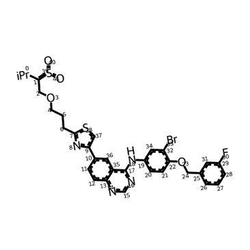 CC(C)C(COCCCc1nc(-c2ccc3ncnc(Nc4ccc(OCc5cccc(F)c5)c(Br)c4)c3c2)cs1)=S(=O)=O